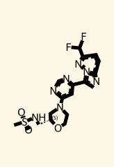 CS(=O)(=O)NC[C@@H]1CN(c2cc(-c3cnc4ccc(C(F)F)nn34)ncn2)CCO1